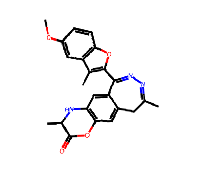 COc1ccc2oc(C3=NN=C(C)Cc4cc5c(cc43)NC(C)C(=O)O5)c(C)c2c1